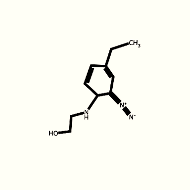 CCC1=CC(=[N+]=[N-])C(NCCO)C=C1